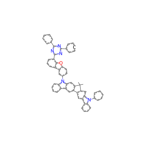 CC1(C)c2cc3c(cc2-c2cc4c5ccccc5n(-c5ccc6oc7c(-c8nc(-c9ccccc9)nc(-c9ccccc9)n8)cccc7c6c5)c4cc21)c1ccccc1n3-c1ccccc1